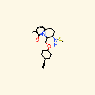 C#CC1CCC(OCC2C(NSC)CCc3ccc(C)c(=O)n32)CC1